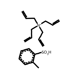 C=CC[N+](CC=C)(CC=C)CC=C.Cc1ccccc1S(=O)(=O)O